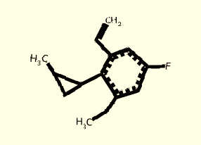 C=Cc1cc(F)cc(CC)c1C1CC1C